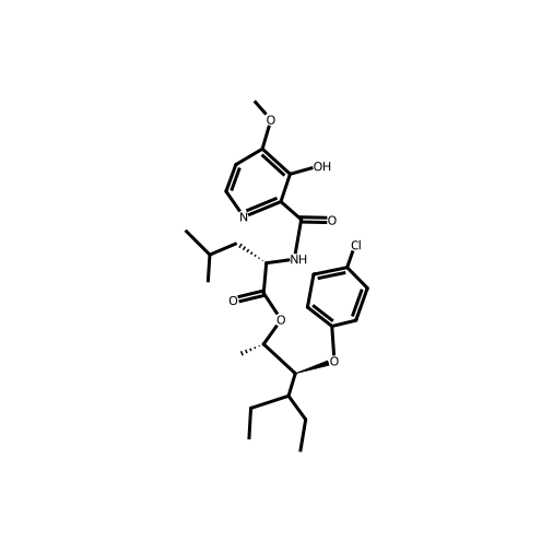 CCC(CC)[C@H](Oc1ccc(Cl)cc1)[C@H](C)OC(=O)[C@H](CC(C)C)NC(=O)c1nccc(OC)c1O